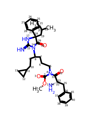 COC(=O)N(CCCC(CCC1CC1)N1C(=N)NC(CC(C)C)(c2ccccc2)C1=O)C(=O)[C@@H](N)Cc1ccccc1